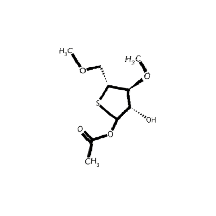 COC[C@H]1SC(OC(C)=O)[C@@H](O)[C@@H]1OC